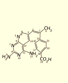 CC(=Cc1cnc2nc(N)nc(N)c2c1)c1ccc(C(=O)O)cc1